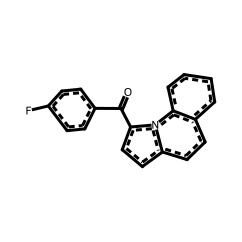 O=C(c1ccc(F)cc1)c1ccc2ccc3ccccc3n12